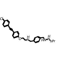 CCCNNCc1ccc(CNCCOc2ccc(C#Cc3ccc(Cl)cc3)cc2)cc1